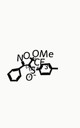 CO[C@]1(C(F)(F)F)ON=C(c2ccccc2)[C@@H]1[S@@+]([O-])c1ccc(C)cc1